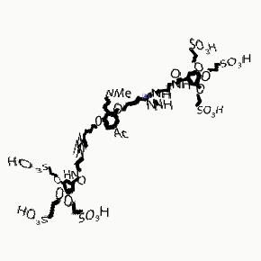 CNCCCc1c(OCCCC/C(=C/NCCCNC(=O)c2cc(OCCCS(=O)(=O)O)c(OCCCS(=O)(=O)O)c(OCCCS(=O)(=O)O)c2)N=N)cc(C(C)=O)cc1OCCCCc1cn(CCCNC(=O)c2cc(OCCCS(=O)(=O)O)c(OCCCS(=O)(=O)O)c(OCCCS(=O)(=O)O)c2)nn1